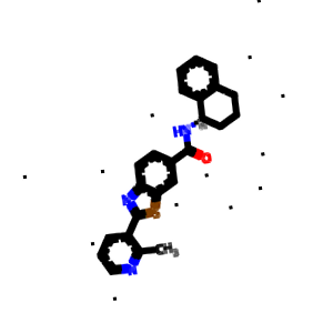 Cc1ncccc1-c1nc2ccc(C(=O)N[C@H]3CCCc4ccccc43)cc2s1